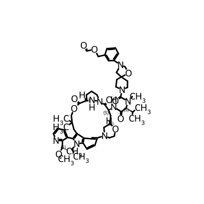 CCn1c(-c2cccnc2[C@H](C)OC)c2c3cc(ccc31)N1CCO[C@@H](C[C@H](NC(=O)[C@H](C(C)C)N(C)C(=O)N3CCC4(CC3)CN(c3cccc(COC=O)c3)CO4)C(=O)N3CCC[C@H](N3)C(=O)OCC(C)(C)C2)C1